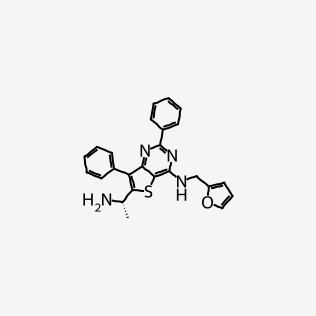 C[C@H](N)c1sc2c(NCc3ccco3)nc(-c3ccccc3)nc2c1-c1ccccc1